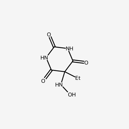 CCC1(NO)C(=O)NC(=O)NC1=O